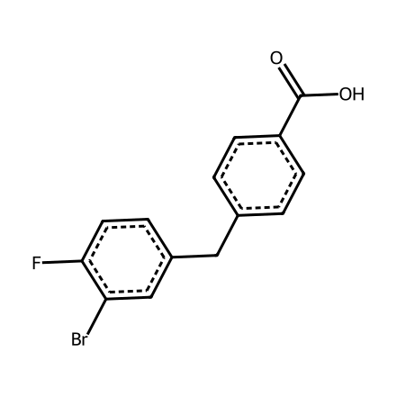 O=C(O)c1ccc(Cc2ccc(F)c(Br)c2)cc1